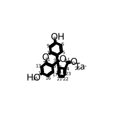 O=C1OC2(c3ccc(O)cc3Oc3cc(O)ccc32)c2ccccc21.[Ta]